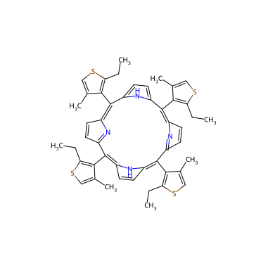 CCc1scc(C)c1-c1c2nc(c(-c3c(C)csc3CC)c3ccc([nH]3)c(-c3c(C)csc3CC)c3nc(c(-c4c(C)csc4CC)c4ccc1[nH]4)C=C3)C=C2